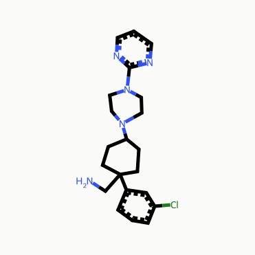 NCC1(c2cccc(Cl)c2)CCC(N2CCN(c3ncccn3)CC2)CC1